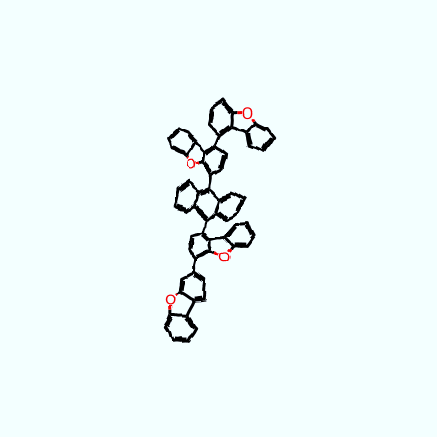 c1ccc2c(c1)oc1cc(-c3ccc(-c4c5ccccc5c(-c5ccc(-c6cccc7oc8ccccc8c67)c6c5oc5ccccc56)c5ccccc45)c4c3oc3ccccc34)ccc12